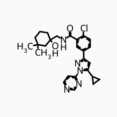 CC1(C)CCCC(O)(CNC(=O)c2cc(-c3cc(C4CC4)n(-c4ccncn4)n3)ccc2Cl)C1